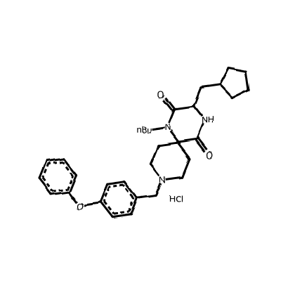 CCCCN1C(=O)C(CC2CCCC2)NC(=O)C12CCN(Cc1ccc(Oc3ccccc3)cc1)CC2.Cl